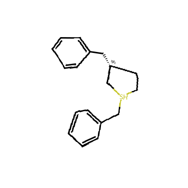 c1ccc(C[C@@H]2CC[SH](Cc3ccccc3)C2)cc1